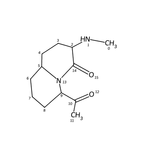 CNC1CCC2CCCC(C(C)=O)N2C1=O